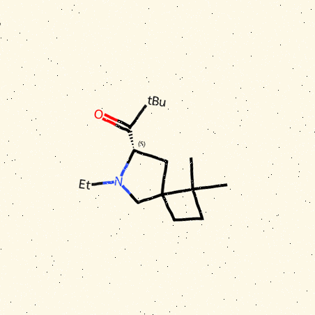 CCN1CC2(CCC2(C)C)C[C@H]1C(=O)C(C)(C)C